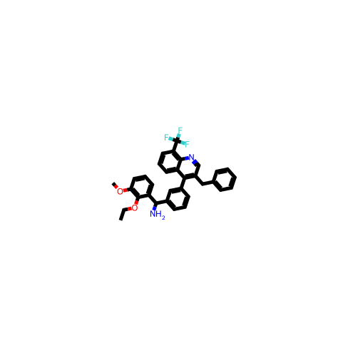 CCOc1c(OC)cccc1C(N)c1cccc(-c2c(Cc3ccccc3)cnc3c(C(F)(F)F)cccc23)c1